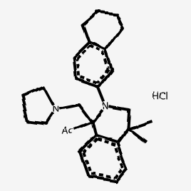 CC(=O)C1(CN2CCCC2)c2ccccc2C(C)(C)CN1c1ccc2c(c1)CCCC2.Cl